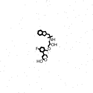 CC/C(=C\C(=O)O)c1cc(F)ccc1[C@@H](C)OC[C@@H](O)CNC(C)(C)CC1Cc2ccccc2C1